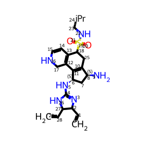 C=CC1N=C(N[C@H]2C[C@H](N)C3=C2C2=C(C=CNC2)C(S(=O)(=O)NCC(C)C)C3)NC1C=C